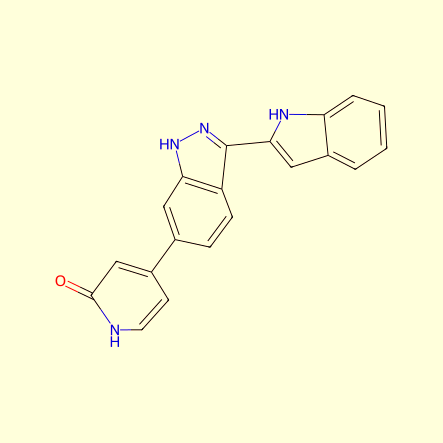 O=c1cc(-c2ccc3c(-c4cc5ccccc5[nH]4)n[nH]c3c2)cc[nH]1